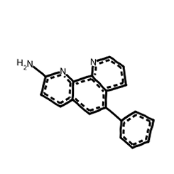 Nc1ccc2cc(-c3ccccc3)c3cccnc3c2n1